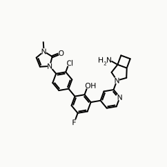 Cn1ccn(-c2ccc(-c3cc(F)cc(-c4ccnc(N5CC6CCC6(N)C5)c4)c3O)cc2Cl)c1=O